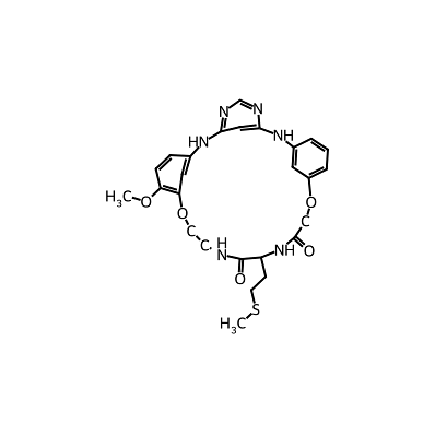 COc1ccc2cc1OCCNC(=O)C(CCSC)NC(=O)COc1cccc(c1)Nc1cc(ncn1)N2